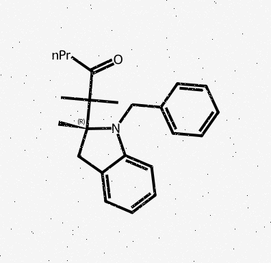 CCCC(=O)C(C)(C)[C@@]1(C)Cc2ccccc2N1Cc1ccccc1